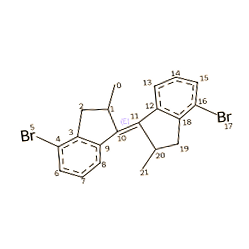 CC1Cc2c(Br)cccc2/C1=C1/c2cccc(Br)c2CC1C